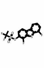 CC(F)(F)S(=O)(=O)Oc1ccc2c(sc3c(F)cccc32)c1F